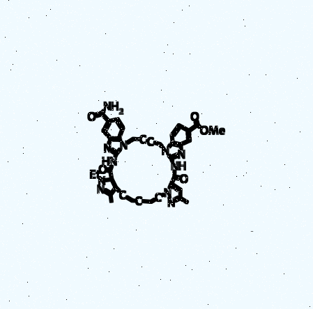 CCN1N=C(C)C2CCCCCn3nc(C)cc3C(=O)Nc3nc4cc(C(=O)OC)ccc4n3CCCCn3c(nc4cc(C(N)=O)ccc43)NC(=O)C21